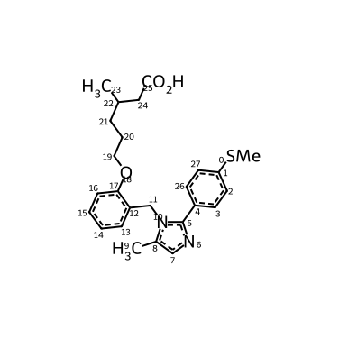 CSc1ccc(-c2ncc(C)n2Cc2ccccc2OCCCC(C)CC(=O)O)cc1